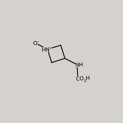 O=C(O)NC1C[NH+]([O-])C1